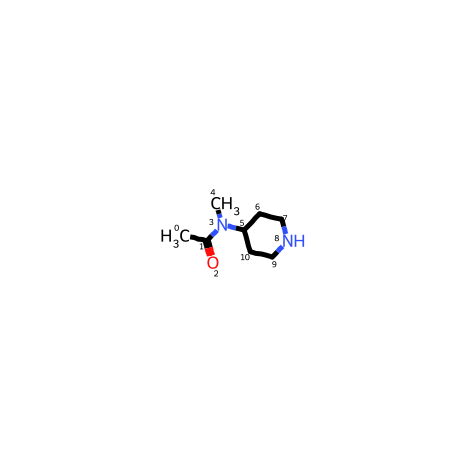 CC(=O)N(C)C1CCNCC1